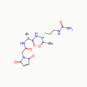 CC(C)[C@@H](NC(=O)CN1C(=O)C=CC1=O)C(=O)N[C@H](CCCNC(N)=O)C(=O)C(C)(C)C